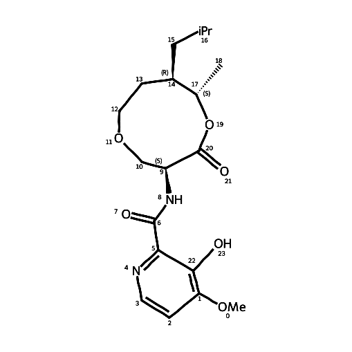 COc1ccnc(C(=O)N[C@H]2COCC[C@@H](CC(C)C)[C@H](C)OC2=O)c1O